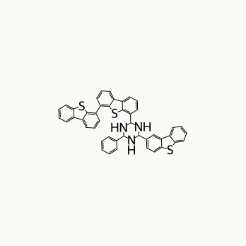 c1ccc(C2NC(c3ccc4sc5ccccc5c4c3)NC(c3cccc4c3sc3c(-c5cccc6c5sc5ccccc56)cccc34)N2)cc1